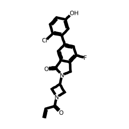 C=CC(=O)N1CC(N2Cc3c(F)cc(-c4cc(O)ccc4Cl)cc3C2=O)C1